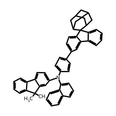 CC1(C)c2ccccc2-c2ccc(N(c3ccc(-c4ccc5c(c4)-c4ccccc4C54C5CC6CC(C5)CC4C6)cc3)c3cccc4ccccc34)cc21